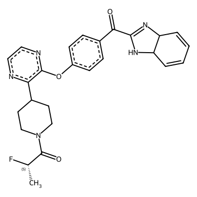 C[C@H](F)C(=O)N1CCC(c2nccnc2Oc2ccc(C(=O)C3=NC4C=CC=CC4N3)cc2)CC1